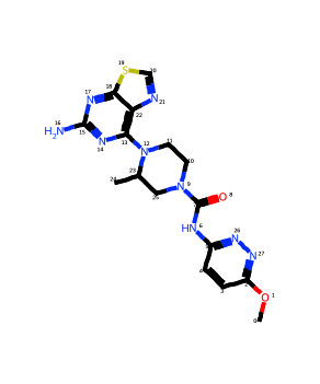 COc1ccc(NC(=O)N2CCN(c3nc(N)nc4scnc34)C(C)C2)nn1